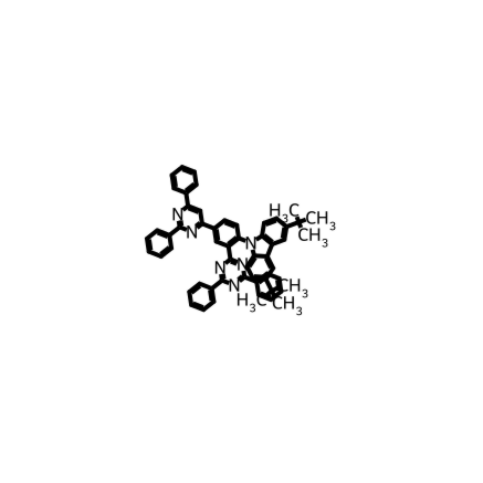 CC(C)(C)c1ccc2c(c1)c1cc(C(C)(C)C)ccc1n2-c1ccc(-c2cc(-c3ccccc3)nc(-c3ccccc3)n2)cc1-c1nc(-c2ccccc2)nc(-c2ccccc2)n1